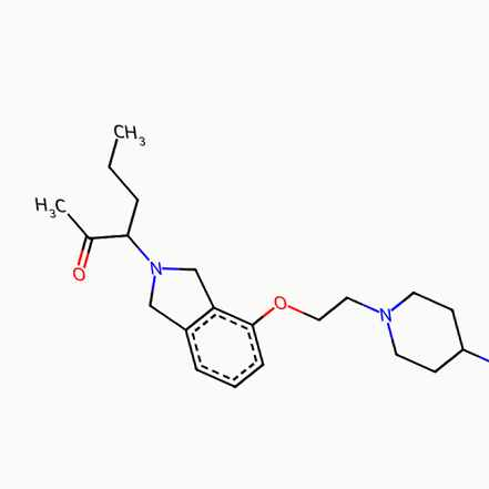 CCCC(C(C)=O)N1Cc2cccc(OCCN3CCC(N)CC3)c2C1